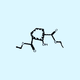 CCOC(=O)c1cccc(C(=O)OCC)c1O